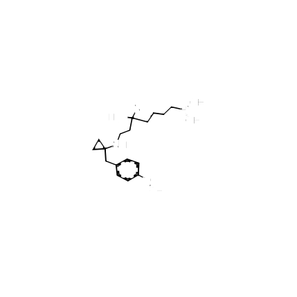 COc1ccc(CC2(NCCC(C)(N)CCCCB(O)O)CC2)cc1